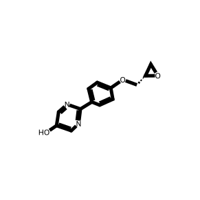 Oc1cnc(-c2ccc(OC[C@@H]3CO3)cc2)nc1